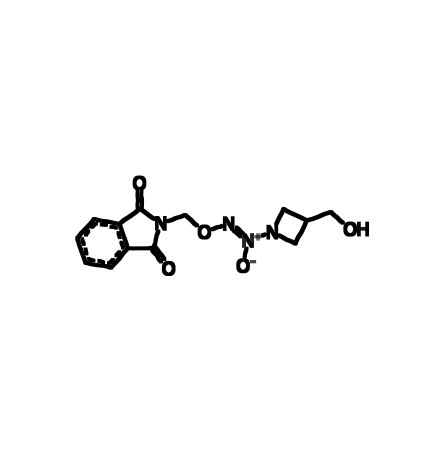 O=C1c2ccccc2C(=O)N1CON=[N+]([O-])N1CC(CO)C1